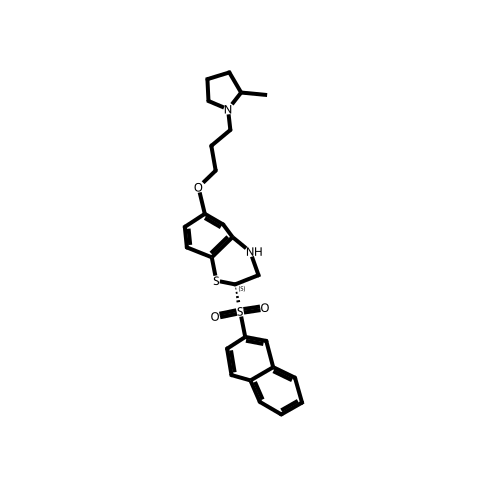 CC1CCCN1CCCOc1ccc2c(c1)NC[C@H](S(=O)(=O)c1ccc3ccccc3c1)S2